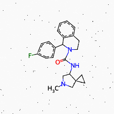 CN1CC(NC(=O)N2CCc3ccccc3C2c2ccc(F)cc2)C2(CC2)C1